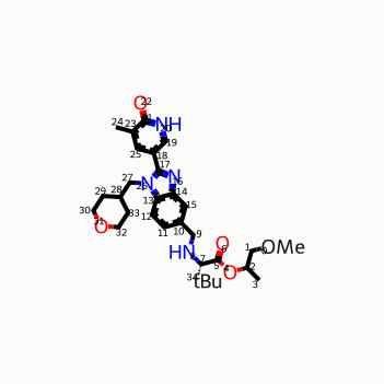 COCC(C)OC(=O)[C@@H](NCc1ccc2c(c1)nc(-c1c[nH]c(=O)c(C)c1)n2CC1CCOCC1)C(C)(C)C